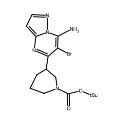 CC(C)(C)OC(=O)N1CCCC(c2nc3ccnn3c(N)c2Br)C1